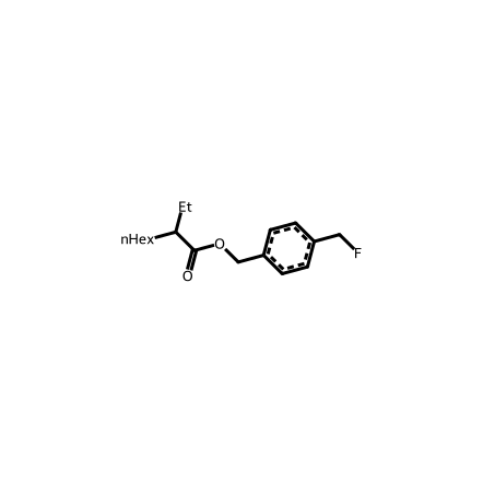 CCCCCCC(CC)C(=O)OCc1ccc(CF)cc1